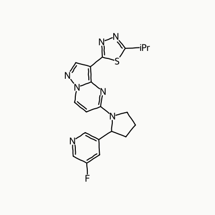 CC(C)c1nnc(-c2cnn3ccc(N4CCCC4c4cncc(F)c4)nc23)s1